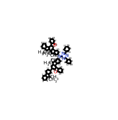 CC1(C)c2ccccc2-c2ccc(-c3cc4c(c5c3oc3ccccc35)-c3ccc(N(c5ccc6c(c5)C(C)(C)c5c7c(c8c(oc9ccccc98)c5-6)-c5ccccc5C7(C)C)c5nc(-c6ccccc6)nc(-c6ccccc6)n5)cc3C4(C)C)cc21